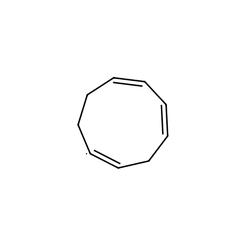 [C]1=C\C/C=C\C=C/CC/1